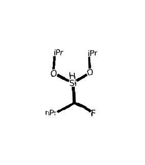 CCCC(F)[SiH](OC(C)C)OC(C)C